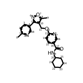 Cc1ccc(-c2noc(C)c2COc2ccc(C(=O)NC3CCCCC3)cn2)cn1